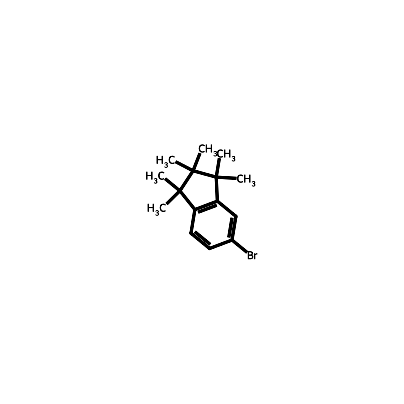 CC1(C)c2ccc(Br)cc2C(C)(C)C1(C)C